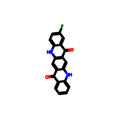 O=c1c2ccccc2[nH]c2cc3c(=O)c4cc(F)ccc4[nH]c3cc12